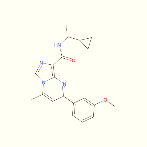 COc1cccc(-c2cc(C)n3cnc(C(=O)N[C@H](C)C4CC4)c3n2)c1